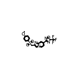 COc1ccc(S(=O)(=O)Cc2cn3ccc(-c4noc(C(F)(F)F)n4)cc3n2)cc1